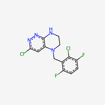 Fc1ccc(F)c(CN2CCNc3nnc(Cl)cc32)c1Cl